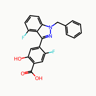 O=C(O)c1cc(F)c(-c2nn(Cc3ccccc3)c3cccc(F)c23)cc1O